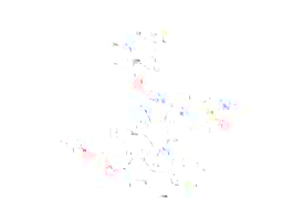 CCc1c(F)ccc2cc(OCOC)cc(-c3ncc4c(N5CCS(=N)(=O)CC5)nc(OC[C@@]56CCCN5CC(F)C6)nc4c3C)c12